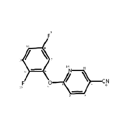 N#Cc1ccc(Oc2cc(F)ccc2F)nc1